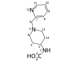 O=C(O)NC1CCN(Cc2ccccn2)CC1